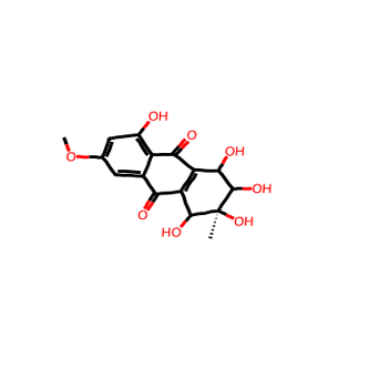 COc1cc(O)c2c(c1)C(=O)C1=C(C2=O)C(O)C(O)[C@@](C)(O)C1O